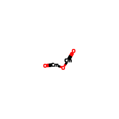 [O]=[Cm][O][Cm]=[O]